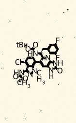 Cn1nc(NS(C)(=O)=O)c2c(Cl)ccc(-c3cc4[nH]c(=O)[nH]c4nc3[C@H](Cc3cc(F)cc(F)c3)NC(=O)OC(C)(C)C)c21